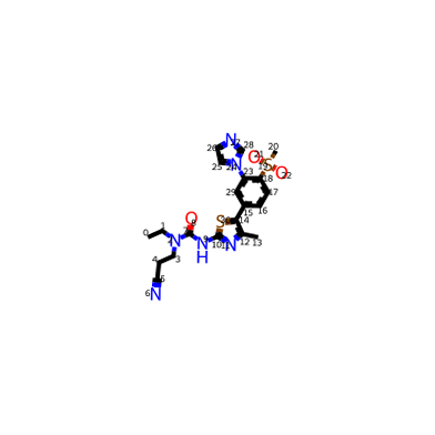 CCN(CCC#N)C(=O)Nc1nc(C)c(-c2ccc(S(C)(=O)=O)c(-n3ccnc3)c2)s1